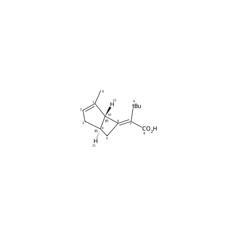 CC1=CC[C@@H]2CC(=C(C(=O)O)C(C)(C)C)[C@@H]12